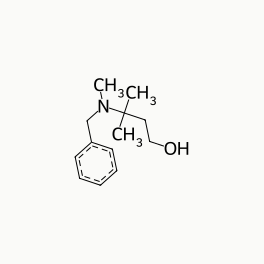 CN(Cc1ccccc1)C(C)(C)CCO